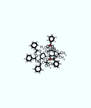 C[SiH](C)[C@]1(O[C@H]2[C@H](OC(=O)c3ccccc3)[C@@H](OC(=O)c3ccccc3)[C@H](OCc3ccccc3)O[C@@H]2COC(=O)c2ccccc2)O[C@H](COC(C)(C)C)[C@@H]2OC(C)(C)O[C@@H]2[C@H]1OC(=O)c1ccccc1